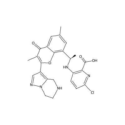 Cc1cc([C@@H](C)Nc2ccc(Cl)nc2C(=O)O)c2oc(-c3cnn4c3CNCC4)c(C)c(=O)c2c1